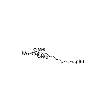 CCCCC=CCCCCCCCCCC[Si](OC)(OC)OC